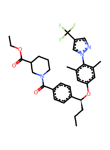 CCC[C@H](Oc1cc(C)c(-n2cc(C(F)(F)F)cn2)c(C)c1)c1ccc(C(=O)N2CCCC(C(=O)OCC)C2)cc1